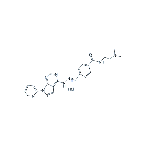 CN(C)CCNC(=O)c1ccc(/C=N/Nc2ncnc3c2cnn3-c2ccccn2)cc1.Cl